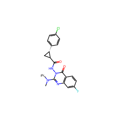 CC(C)N(C)c1nc2cc(F)ccc2c(=O)n1NC(=O)C1C[C@@H]1c1ccc(Cl)cc1